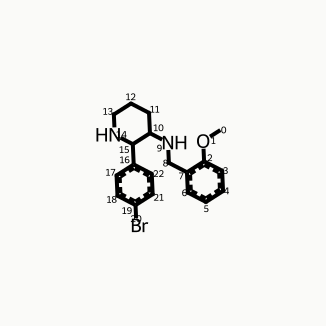 COc1ccccc1CNC1CCCNC1c1ccc(Br)cc1